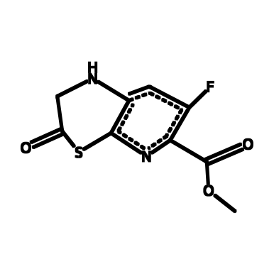 COC(=O)c1nc2c(cc1F)NCC(=O)S2